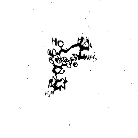 CC(CC[C@H](O)COP(=O)(O)OC1C[C@H](n2cnc3c(N)ncnc32)O[C@@H]1COP(=O)(O)O)C(/C=N\N)/N=C\N